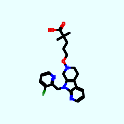 CC(C)(CCCON1CCc2c(n(Cc3ncccc3F)c3ncccc23)C1)C(=O)O